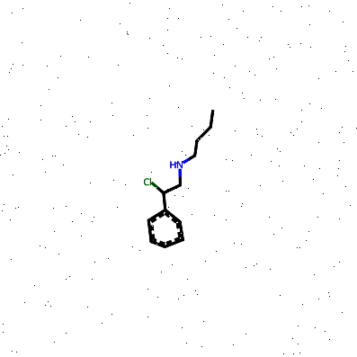 CCCCNCC(Cl)c1ccccc1